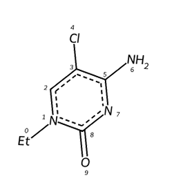 CCn1cc(Cl)c(N)nc1=O